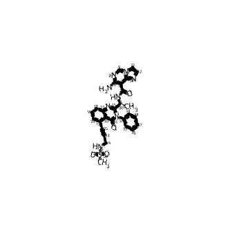 C[C@@H](NC(=O)c1c(N)ncn2ccnc12)c1nc2cccc(C#CCNS(C)(=O)=O)c2c(=O)n1-c1ccccc1